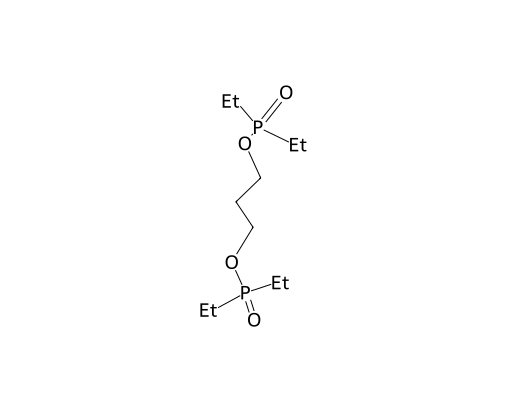 CCP(=O)(CC)OCCCOP(=O)(CC)CC